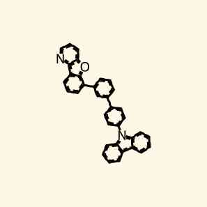 c1cc(-c2ccc(-n3c4ccccc4c4ccccc43)cc2)cc(-c2cccc3c2oc2cccnc23)c1